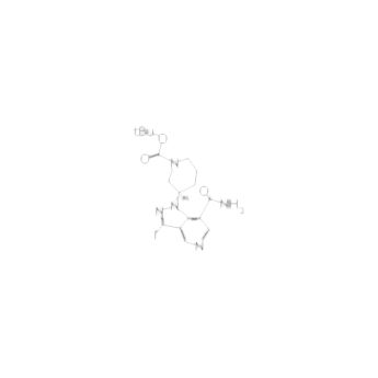 CC(C)(C)OC(=O)N1CCC[C@@H](n2nc(I)c3cncc(C(N)=O)c32)C1